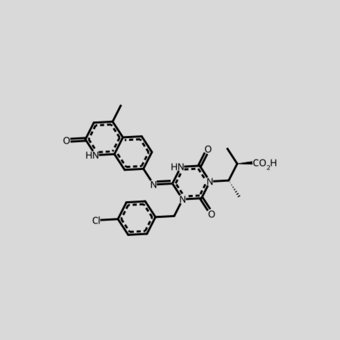 Cc1cc(=O)[nH]c2cc(/N=c3\[nH]c(=O)n([C@@H](C)[C@@H](C)C(=O)O)c(=O)n3Cc3ccc(Cl)cc3)ccc12